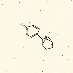 N#Cc1ccc(C2CC3CCC2N3)cn1